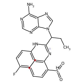 CCC(/C(=N/c1ccccc1[SH](=O)=O)Nc1ccc(F)cc1)n1cnc2c(N)ncnc21